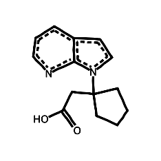 O=C(O)CC1(n2ccc3cccnc32)CCCC1